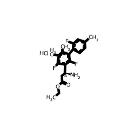 CCOC(=O)C[C@H](N)c1c(F)c(C)c(C)c(-c2ccc(C)cc2F)c1F.Cl